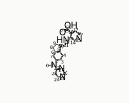 CN(c1ccc2c(c1)CC[C@H]2CNc1cnccc1C(=O)O)c1ccncn1